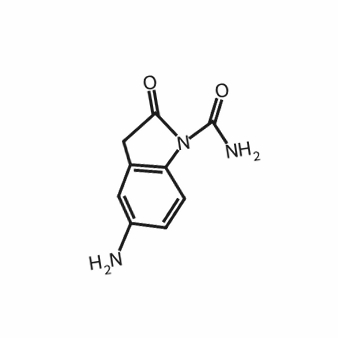 NC(=O)N1C(=O)Cc2cc(N)ccc21